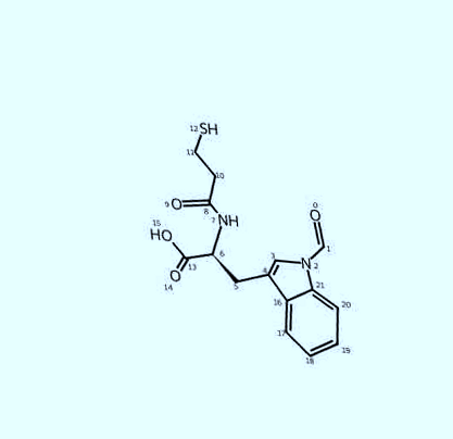 O=Cn1cc(C[C@H](NC(=O)CCS)C(=O)O)c2ccccc21